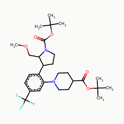 COCC1C(c2ccc(C(F)(F)F)cc2N2CCC(C(=O)OC(C)(C)C)CC2)CCN1C(=O)OC(C)(C)C